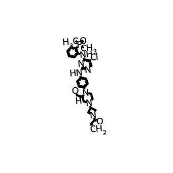 C=CC(=O)N1CC(N2CCN3c4ccc(Nc5ncc(Cl)c(Nc6ccccc6P(C)(C)=O)n5)cc4OC[C@H]3C2)C1